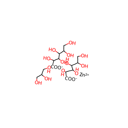 O=C([O-])C(O)C(O)C(O)C(O)CO.O=C([O-])C(O)C(O)C(O)C(O)CO.OCC(O)CO.[Zn+2]